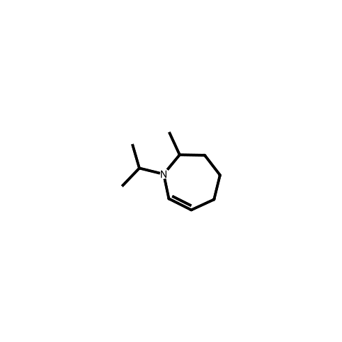 CC(C)N1C=CCCCC1C